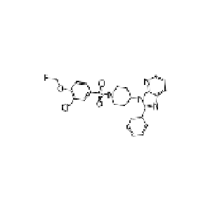 O=S(=O)(c1ccc(OCF)c(Cl)c1)N1CCC(n2c(-c3ccccc3)nc3cccnc32)CC1